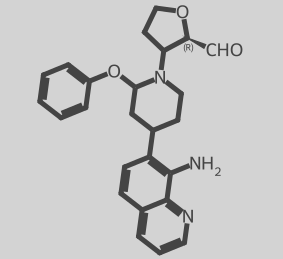 Nc1c(C2CCN(C3CCO[C@H]3C=O)C(Oc3ccccc3)C2)ccc2cccnc12